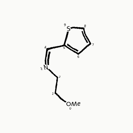 COCC/N=C\c1cccs1